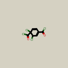 O=C(Cl)C1=CC(Cl)C(Cl)(C(=O)Cl)C=C1